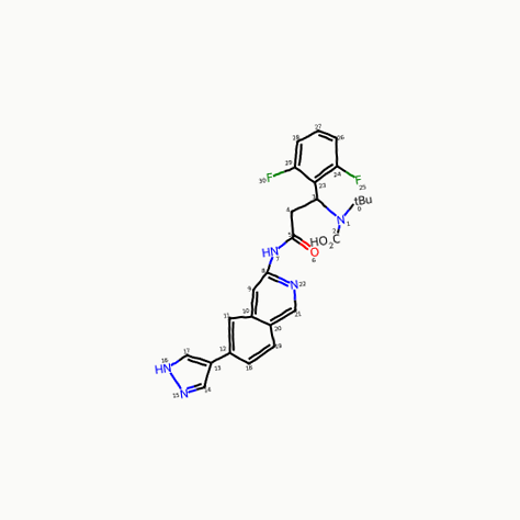 CC(C)(C)N(C(=O)O)C(CC(=O)Nc1cc2cc(-c3cn[nH]c3)ccc2cn1)c1c(F)cccc1F